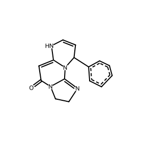 O=C1C=C2NC=CC(c3ccccc3)N2C2=NCCN12